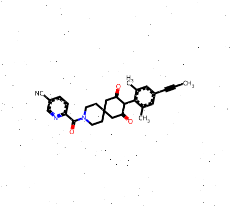 CC#Cc1cc(C)c(C2C(=O)CC3(CCN(C(=O)c4ccc(C#N)cn4)CC3)CC2=O)c(C)c1